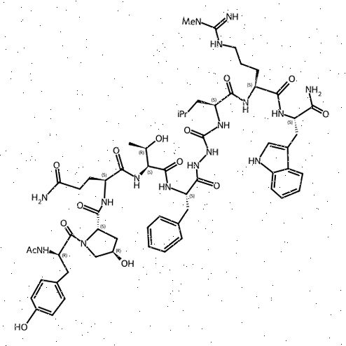 CNC(=N)NCCC[C@H](NC(=O)[C@H](CC(C)C)NC(=O)NNC(=O)[C@H](Cc1ccccc1)NC(=O)[C@@H](NC(=O)[C@H](CCC(N)=O)NC(=O)[C@@H]1C[C@@H](O)CN1C(=O)[C@@H](Cc1ccc(O)cc1)NC(C)=O)[C@@H](C)O)C(=O)N[C@@H](Cc1c[nH]c2ccccc12)C(N)=O